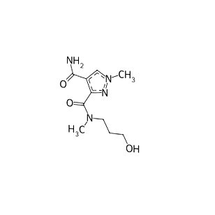 CN(CCCO)C(=O)c1nn(C)cc1C(N)=O